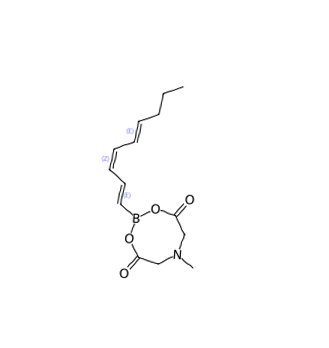 CCC/C=C/C=C\C=C\B1OC(=O)CN(C)CC(=O)O1